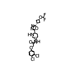 O=C(COc1ccc(Cl)c(Cl)c1)N[Si@H]1CC[C@H](c2nnc([C@H]3C[C@@H](OC(F)F)C3)o2)NC1